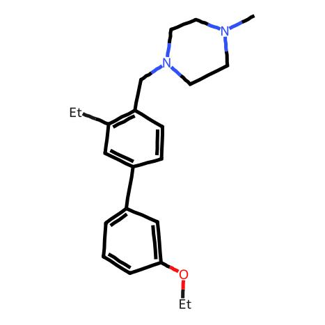 CCOc1cccc(-c2ccc(CN3CCN(C)CC3)c(CC)c2)c1